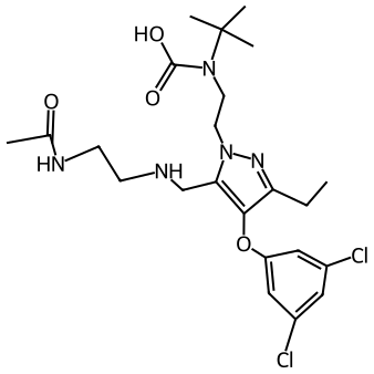 CCc1nn(CCN(C(=O)O)C(C)(C)C)c(CNCCNC(C)=O)c1Oc1cc(Cl)cc(Cl)c1